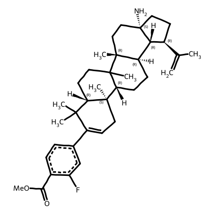 C=C(C)[C@@H]1CC[C@]2(N)CC[C@]3(C)[C@H](CC[C@H]4C3(C)CC[C@H]3C(C)(C)C(c5ccc(C(=O)OC)c(F)c5)=CC[C@@]34C)[C@@H]12